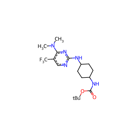 CN(C)c1nc(NC2CCC(NC(=O)OC(C)(C)C)CC2)ncc1C(F)(F)F